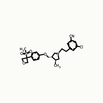 C[C@@H]1CN(CCc2cc(Cl)cc(C#N)c2)C[C@H]1COc1ccc(C2(S(C)(=O)=O)COC2)cc1